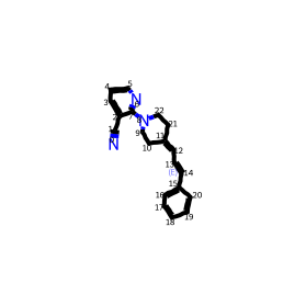 N#Cc1cccnc1N1CCC(=C/C=C/c2ccccc2)CC1